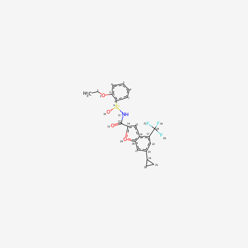 CCOc1ccccc1[S+]([O-])NC(=O)c1cc2c(C(F)(F)F)cc(C3CC3)cc2o1